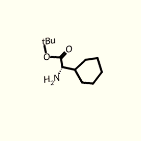 CC(C)(C)OC(=O)[C@@H](N)C1CCCCC1